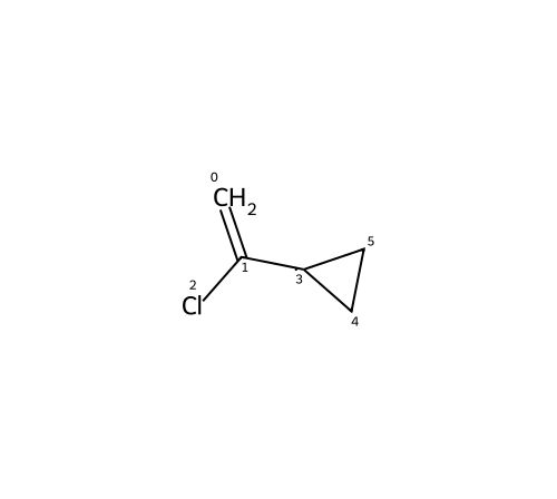 C=C(Cl)[C]1CC1